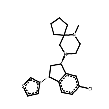 CN1CCN([C@@H]2C[C@@H](c3ccsc3)c3ccc(Cl)cc32)CC12CCCC2